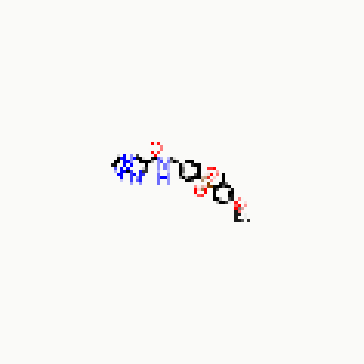 CCOc1ccc(S(=O)(=O)c2ccc(CNC(=O)c3cnc4nccn4c3)cc2)c(C)c1